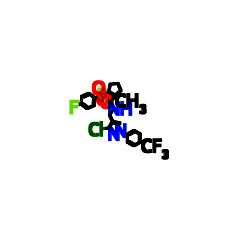 CC1(C(=O)NCc2cn(-c3ccc(C(F)(F)F)cc3)nc2Cl)CCCC1S(=O)(=O)c1ccc(F)cc1